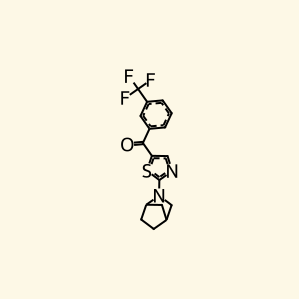 O=C(c1cccc(C(F)(F)F)c1)c1cnc(N2CC3CCC2C3)s1